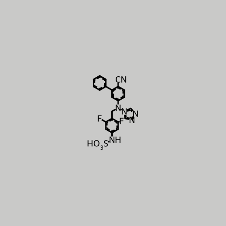 N#Cc1ccc(N(Cc2c(F)cc(NS(=O)(=O)O)cc2F)n2cnnc2)cc1-c1ccccc1